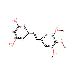 COc1cc(/C=C/c2cc(O)cc(O)c2)cc(OC)c1OC